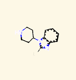 CCc1nc2ccccc2n1C1CCNCC1